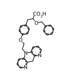 O=C(O)C(Cc1ccc(OCCN2c3cccnc3Cc3ncccc32)cc1)OCc1ccccc1